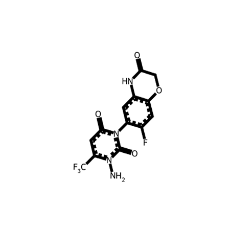 Nn1c(C(F)(F)F)cc(=O)n(-c2cc3c(cc2F)OCC(=O)N3)c1=O